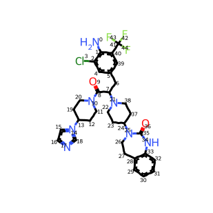 Nc1c(Cl)cc(CC(C(=O)N2CCC(n3ccnc3)CC2)N2CCC(N3CCc4ccccc4NC3=O)CC2)cc1C(F)(F)F